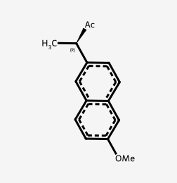 COc1ccc2cc([C@@H](C)C(C)=O)ccc2c1